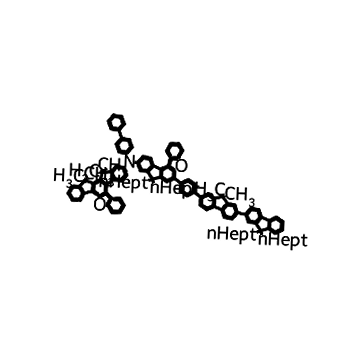 CCCCCCCC1(CCCCCCC)c2ccccc2-c2ccc(-c3ccc4c(c3)C(C)(C)c3cc(-c5ccc(-c6cc7c(c8c6oc6ccccc68)-c6ccc(N(c8ccc(-c9ccccc9)cc8)c8ccc9c(c8)C(C)(C)c8c%10c(c%11oc%12ccccc%12c%11c8-9)-c8ccccc8C%10(C)C)cc6C7(CCCCCCC)CCCCCCC)cc5)ccc3-4)cc21